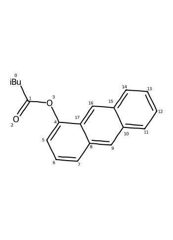 CCC(C)C(=O)Oc1cccc2cc3ccccc3cc12